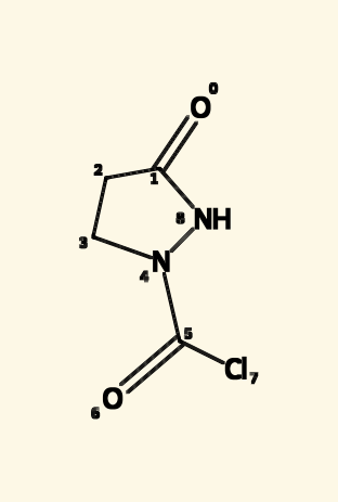 O=C1CCN(C(=O)Cl)N1